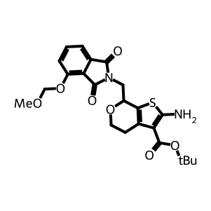 COCOc1cccc2c1C(=O)N(CC1OCCc3c1sc(N)c3C(=O)OC(C)(C)C)C2=O